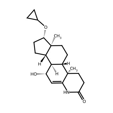 C[C@]12CC[C@H]3[C@@H]([C@@H](O)C=C4NC(=O)CC[C@@]43C)[C@@H]1CC[C@@H]2OC1CC1